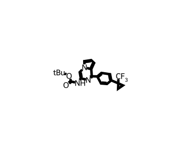 CC(C)(C)OC(=O)Nc1cn2cccc2c(-c2ccc(C3(C(F)(F)F)CC3)cc2)n1